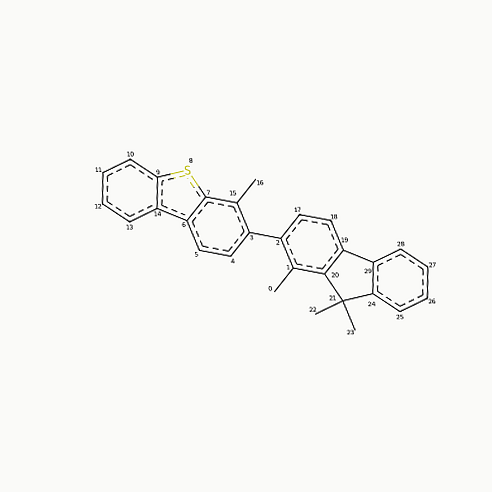 Cc1c(-c2ccc3c(sc4ccccc43)c2C)ccc2c1C(C)(C)c1ccccc1-2